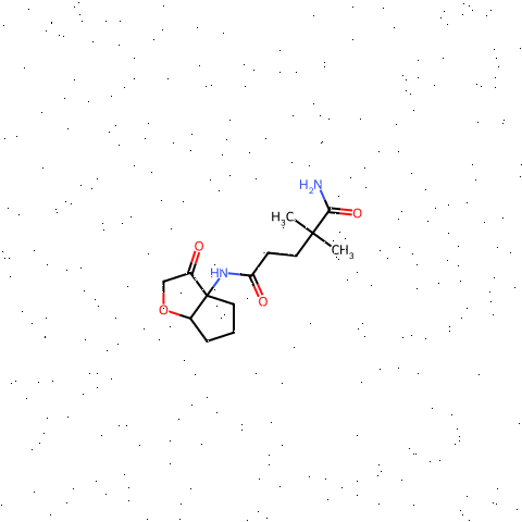 CC(C)(C[CH]C(=O)NC12CCCC1OCC2=O)C(N)=O